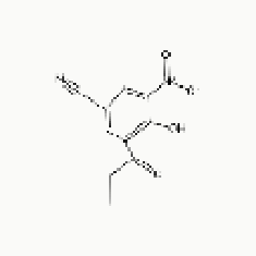 CCC(=O)c1cc(C#N)cc([N+](=O)[O-])c1O